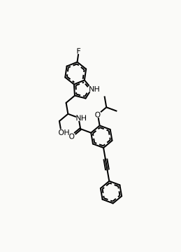 CC(C)Oc1ccc(C#Cc2ccccc2)cc1C(=O)NC(CO)Cc1c[nH]c2cc(F)ccc12